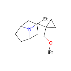 CCC1CC2CCC(C1)N2CC1(COC(C)C)CC1